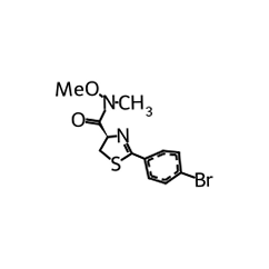 CON(C)C(=O)[C@@H]1CSC(c2ccc(Br)cc2)=N1